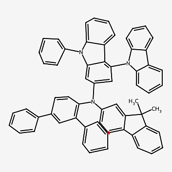 CC1(C)c2ccccc2-c2ccc(N(c3cc(-n4c5ccccc5c5ccccc54)c4c5ccccc5n(-c5ccccc5)c4c3)c3ccc(-c4ccccc4)cc3-c3ccccc3)cc21